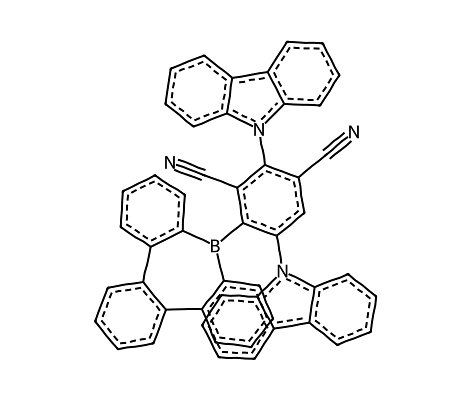 N#Cc1cc(-n2c3ccccc3c3ccccc32)c(B2c3ccccc3-c3ccccc3-c3ccccc32)c(C#N)c1-n1c2ccccc2c2ccccc21